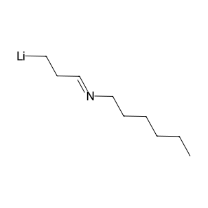 [Li][CH2]CC=NCCCCCC